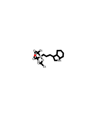 CCC(=O)O[Si](CCCC1CNC2CCCCC12)(C1(CC)OO1)C1(CC)OO1